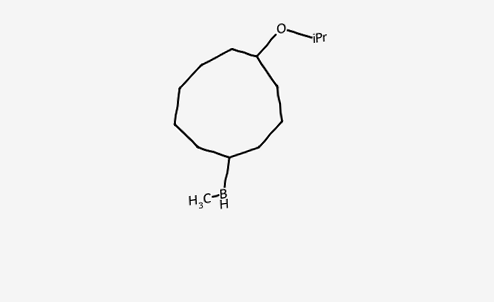 CBC1CCCCCC(OC(C)C)CCC1